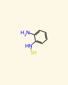 Nc1ccccc1NS